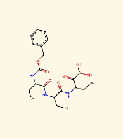 CC(C)CC(NC(=O)OCc1ccccc1)C(=O)NC(CC(C)C)C(=O)NC(CC(C)C)C(=O)B(O)O